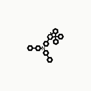 CC12CC=C(c3ccc(N(c4ccc(-c5ccccc5)cc4)c4ccc(-c5ccccc5)cc4)cc3)C=C1C(c1ccccc1)(c1ccccc1)c1ccccc12